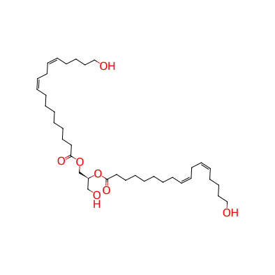 O=C(CCCCCCC/C=C\C/C=C\CCCCO)OC[C@H](CO)OC(=O)CCCCCCC/C=C\C/C=C\CCCCO